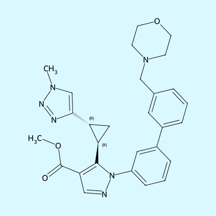 COC(=O)c1cnn(-c2cccc(-c3cccc(CN4CCOCC4)c3)c2)c1[C@@H]1C[C@H]1c1cn(C)nn1